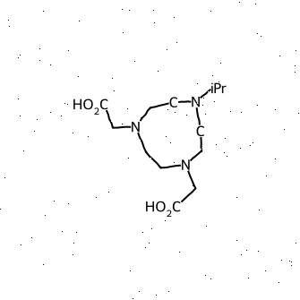 CC(C)N1CCN(CC(=O)O)CCN(CC(=O)O)CC1